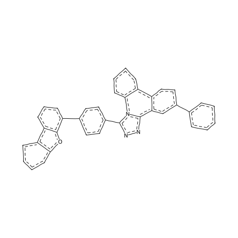 c1ccc(-c2ccc3c4ccccc4n4c(-c5ccc(-c6cccc7c6oc6ccccc67)cc5)nnc4c3c2)cc1